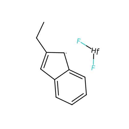 CCC1=Cc2ccccc2[CH]1.[F][Hf][F]